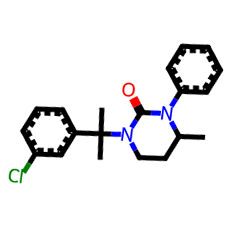 CC1CCN(C(C)(C)c2cccc(Cl)c2)C(=O)N1c1ccccc1